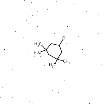 CC1(C)CC([O])CC(C)(C)C1